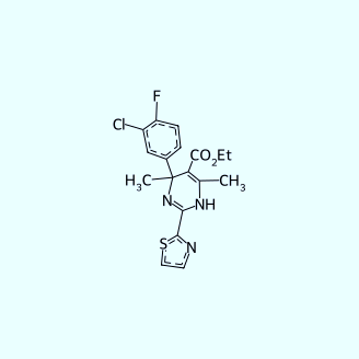 CCOC(=O)C1=C(C)NC(c2nccs2)=NC1(C)c1ccc(F)c(Cl)c1